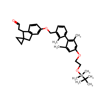 Cc1cc(OCCO[Si](C)(C)C(C)(C)C)cc(C)c1-c1cccc(COc2ccc3c(c2)CC2(CC2)C3CC=O)c1C